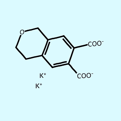 O=C([O-])c1cc2c(cc1C(=O)[O-])COCC2.[K+].[K+]